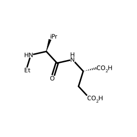 CCN[C@H](C(=O)N[C@@H](CC(=O)O)C(=O)O)C(C)C